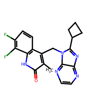 Cc1c(Cn2c(C3CCC3)nc3nccnc32)c2ccc(F)c(F)c2[nH]c1=O